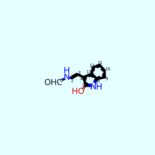 O=CNC=Cc1c(O)[nH]c2ccccc12